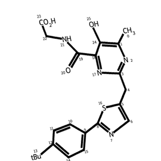 Cc1nc(Cc2cnc(-c3ccc(C(C)(C)C)cc3)s2)nc(C(=O)NCC(=O)O)c1O